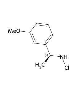 COc1cccc([C@H](C)NCl)c1